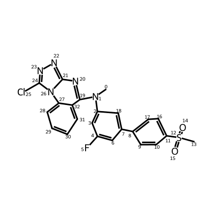 CN(c1cc(F)cc(-c2ccc(S(C)(=O)=O)cc2)c1)c1nc2nnc(Cl)n2c2ccccc12